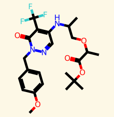 COc1ccc(Cn2ncc(NC(C)COC(C)C(=O)OC(C)(C)C)c(C(F)(F)F)c2=O)cc1